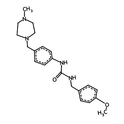 COc1ccc(CNC(=O)Nc2ccc(CN3CCN(C)CC3)cc2)cc1